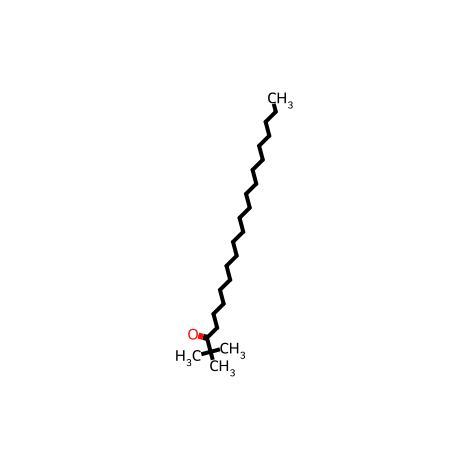 CCCCCCCCCCCCCCCCCCCCC(=O)C(C)(C)C